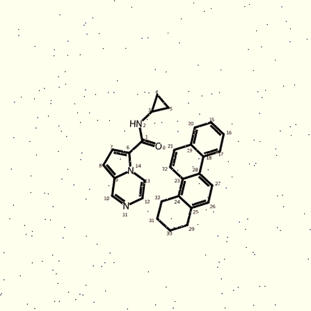 O=C(NC1CC1)c1ccc2cnccn12.c1ccc2c(c1)ccc1c3c(ccc12)CCCC3